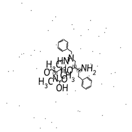 CN(C(=O)O)[C@H](C=O)C(C)(C)CNN(Cc1ccccc1)C[C@H](O)[C@@H](N)Cc1ccccc1